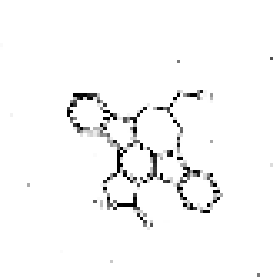 O=C1NCc2c1c1c3ccccc3n3c1c1c2c2ccccc2n1CC(CO)C3